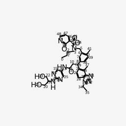 CC[C@@H]1CN(Cc2cc([C@H](CC(=O)Nc3cnc(NC(CO)CO)nc3)c3ccc4c(nnn4CC)c3C)ccc2C)S(=O)(=O)c2cccnc2O1